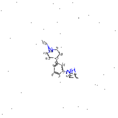 CCNc1cccc(C2CCN(C)CC2)c1